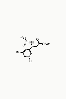 COC(=O)C[C@H](N[S+]([O-])C(C)(C)C)c1cc(Cl)cc(Br)c1